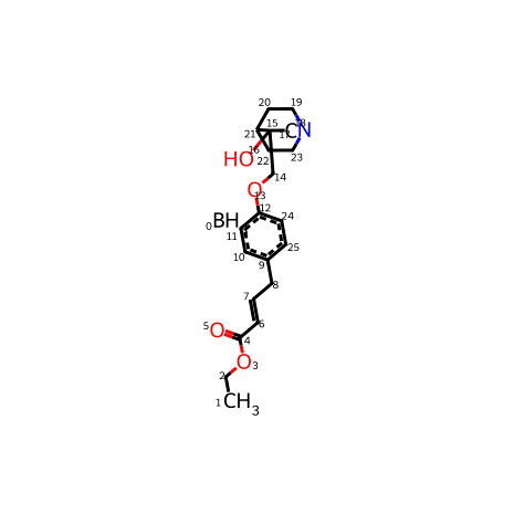 B.CCOC(=O)C=CCc1ccc(OCC2(O)CN3CCC2CC3)cc1